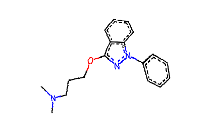 CN(C)CCCOc1nn(-c2ccccc2)c2ccccc12